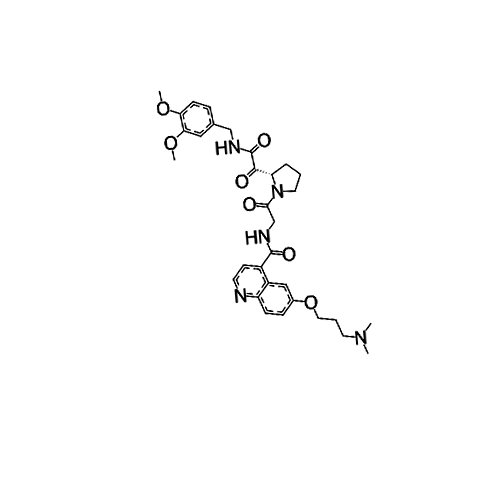 COc1ccc(CNC(=O)C(=O)[C@@H]2CCCN2C(=O)CNC(=O)c2ccnc3ccc(OCCCN(C)C)cc23)cc1OC